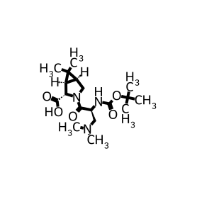 CN(C)C[C@H](NC(=O)OC(C)(C)C)C(=O)N1C[C@H]2[C@@H]([C@H]1C(=O)O)C2(C)C